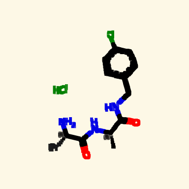 CC(C)[C@H](N)C(=O)N[C@@H](C)C(=O)NCc1ccc(Cl)cc1.Cl